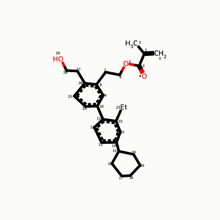 C=C(C)C(=O)OCCc1cc(-c2ccc(C3CCCCC3)cc2CC)ccc1CCO